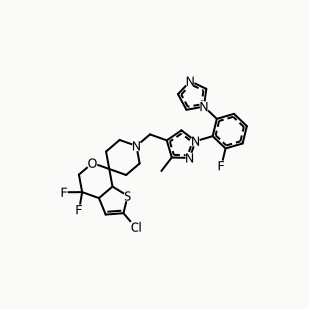 Cc1nn(-c2c(F)cccc2-n2ccnc2)cc1CN1CCC2(CC1)OCC(F)(F)C1C=C(Cl)SC12